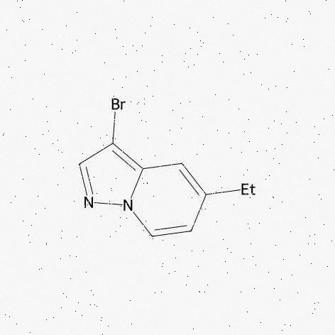 CCc1ccn2ncc(Br)c2c1